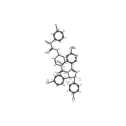 CCOc1cc(C(C)(C)C)ncc1C1=N[C@@](C)(c2ccc(Cl)cc2)[C@@](C)(c2ccc(Cl)cc2)N1C(=O)N1CCC(CC(=O)N(C)c2cccc(C)c2)CC1